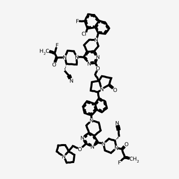 C=C(F)C(=O)N1CCN(c2nc(OCC34CCCN3CCC4)nc3c2CCN(c2cccc4c(C5CCC6(COc7nc8c(c(N9CCN(C(=O)C(=C)F)[C@@H](CC#N)C9)n7)CCN(c7cccc9ccc(F)c(Cl)c79)C8)CCC(=O)N56)cccc24)C3)C[C@@H]1CC#N